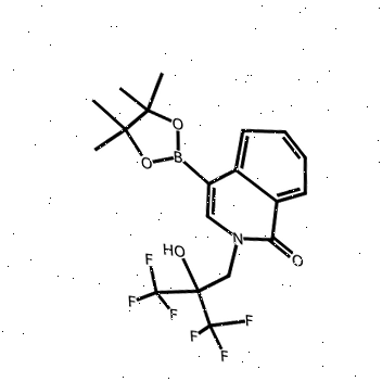 CC1(C)OB(c2cn(CC(O)(C(F)(F)F)C(F)(F)F)c(=O)c3ccccc23)OC1(C)C